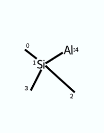 C[Si](C)(C)[Al]